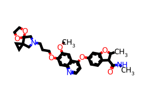 CNC(=O)C1c2ccc(Oc3ccnc4cc(OCCCN5CC6(CC6)C6(C5)OCCO6)c(OC)cc34)cc2OC1C